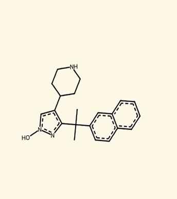 CC(C)(c1ccc2ccccc2c1)c1nn(O)cc1C1CCNCC1